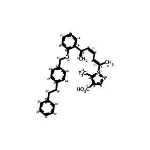 C=C(/C=C\C=C(/C)n1ncc(C(=O)O)c1C(F)(F)F)c1ccccc1OCc1ccc(CCc2ccccc2)cc1